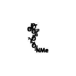 CNCCOCCC(C)OCCC(C)OCC(=O)C(C)C